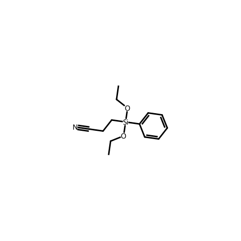 CCO[Si](CCC#N)(OCC)c1ccccc1